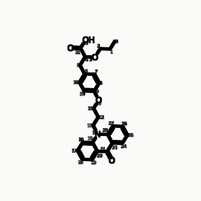 CCCOC(Cc1ccc(OCCCn2c3ccccc3c(=O)c3ccccc32)cc1)C(=O)O